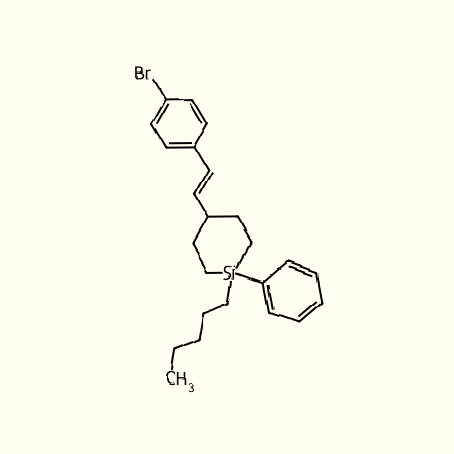 CCCCC[Si]1(c2ccccc2)CCC(C=Cc2ccc(Br)cc2)CC1